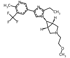 CCc1nc(-c2cnc(C)c(C(F)(F)F)c2)cn1[C@H]1[C@@H]2CN(CCOC)C[C@@H]21